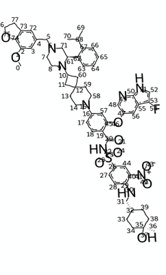 COc1cc(CN2CCN(C3CC4(CCN(c5ccc(C(=O)NS(=O)(=O)c6ccc(NC[C@H]7CC[C@](C)(O)CC7)c([N+](=O)[O-])c6)c(Oc6cnc7[nH]cc(F)c7c6)c5)CC4)C3)[C@H](c3ccccc3C(C)C)C2)cc2c1OCC2